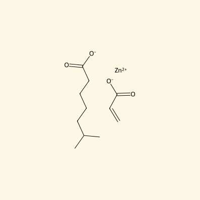 C=CC(=O)[O-].CC(C)CCCCC(=O)[O-].[Zn+2]